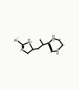 CC(C)C1=NCC(CC(C)C2=CNCCN2)N1